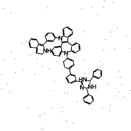 C1=C(c2cccc(C3=NC(c4ccccc4)NC(c4ccccc4)N3)c2)CCC(N2c3ccccc3-c3c(n(-c4cccc(C5=c6ccccc6=CCN5)c4)c4ccccc34)-c3ccccc32)=C1